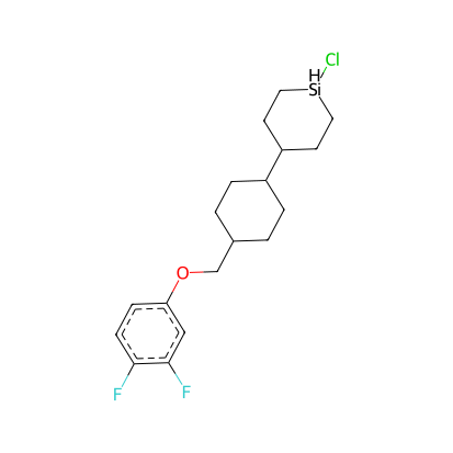 Fc1ccc(OCC2CCC(C3CC[SiH](Cl)CC3)CC2)cc1F